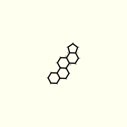 [CH]1CCC2C(C1)CCC1C2CCC2C3CCCC3CCC21